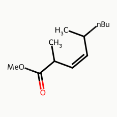 CCCCC(C)/C=C\C(C)C(=O)OC